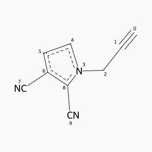 C#CCn1c[c]c(C#N)c1C#N